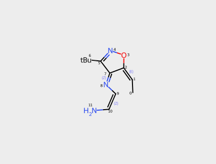 C/C=C1/ON=C(C(C)(C)C)/C1=N/C=C\N